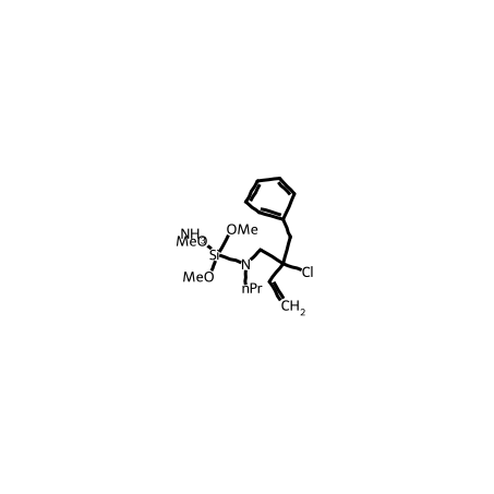 C=CC(Cl)(Cc1ccccc1)CN(CCC)[Si](OC)(OC)OC.N